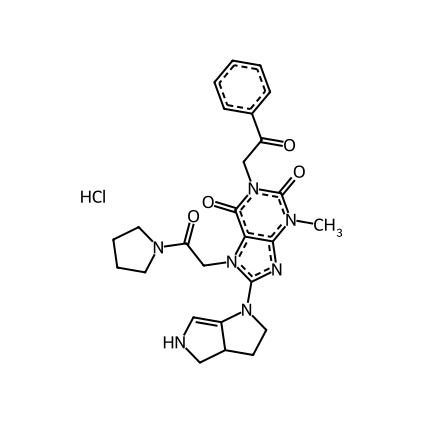 Cl.Cn1c(=O)n(CC(=O)c2ccccc2)c(=O)c2c1nc(N1CCC3CNC=C31)n2CC(=O)N1CCCC1